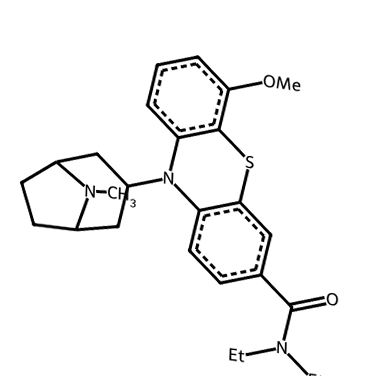 CCN(CC)C(=O)c1ccc2c(c1)Sc1c(OC)cccc1N2C1CC2CCC(C1)N2C